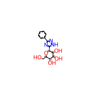 OC[C@H]1O[C@@H](c2nc(-c3ccccc3)n[nH]2)[C@H](O)[C@@H](O)[C@@H]1O